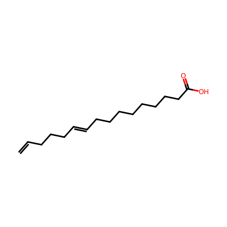 C=CCCC/C=C/CCCCCCCCC(=O)O